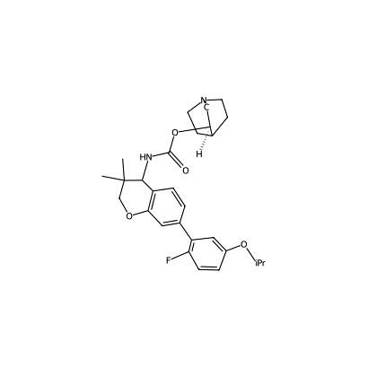 CC(C)Oc1ccc(F)c(-c2ccc3c(c2)OCC(C)(C)C3NC(=O)O[C@H]2CN3CCC2CC3)c1